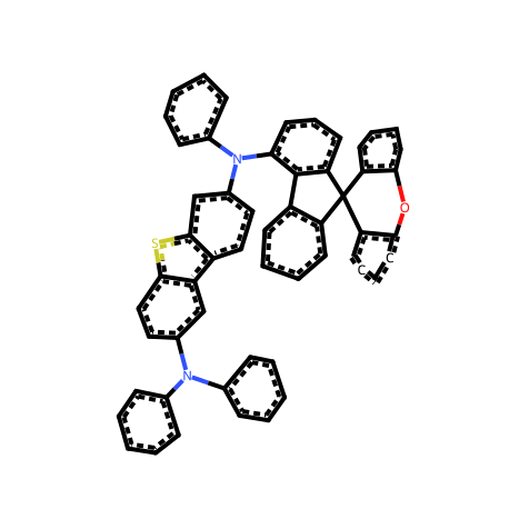 c1ccc(N(c2ccccc2)c2ccc3sc4cc(N(c5ccccc5)c5cccc6c5-c5ccccc5C65c6ccccc6Oc6ccccc65)ccc4c3c2)cc1